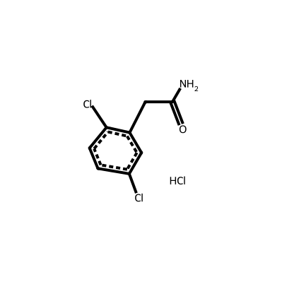 Cl.NC(=O)Cc1cc(Cl)ccc1Cl